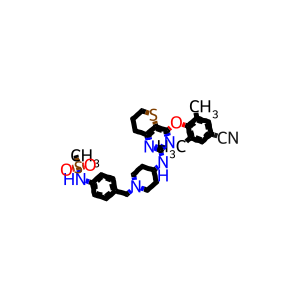 Cc1cc(C#N)cc(C)c1Oc1nc(NC2CCN(Cc3ccc(NS(C)(=O)=O)cc3)CC2)nc2c1SCCC2